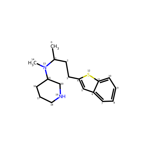 CC(CCc1cc2ccccc2s1)N(C)C1CCCNC1